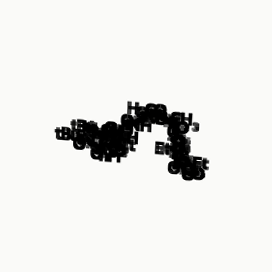 CCCC(C)(NCC(=O)C(C)(CC)NC(COC(=O)NCCC(=O)NC(C)C(=O)OCCN(C)C(=O)Oc1ccc2nc3c(c(CC)c2c1)Cn1c-3cc2c(c1=O)COC(=O)[C@H]2CC)C(=O)NC(C)(C)CCOC(C)(C)C)C(=O)CCNC(=O)CC(C)(C)C